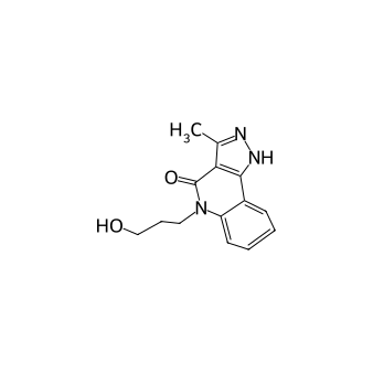 Cc1n[nH]c2c1c(=O)n(CCCO)c1ccccc21